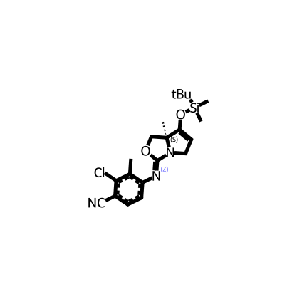 Cc1c(/N=C2\OC[C@@]3(C)C(O[Si](C)(C)C(C)(C)C)=CCN23)ccc(C#N)c1Cl